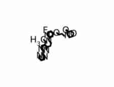 CC1c2cnc(-c3ncccn3)nc2CCN1c1cc(OCCCN2CCOCC2=O)cc(F)n1